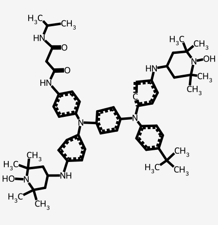 CC(C)NC(=O)CC(=O)Nc1ccc(N(c2ccc(NC3CC(C)(C)N(O)C(C)(C)C3)cc2)c2ccc(N(c3ccc(NC4CC(C)(C)N(O)C(C)(C)C4)cc3)c3ccc(C(C)(C)C)cc3)cc2)cc1